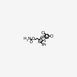 CCCCn1c(CCOC(N)=O)nc(C(C)C)c1Sc1cc(Cl)cc(Cl)c1